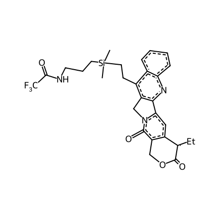 CC[C]1C(=O)OCc2c1cc1n(c2=O)Cc2c-1nc1ccccc1c2CC[Si](C)(C)CCCNC(=O)C(F)(F)F